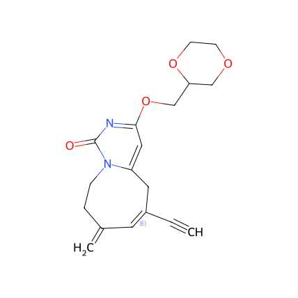 C#C/C1=C/C(=C)CCn2c(cc(OCC3COCCO3)nc2=O)C1